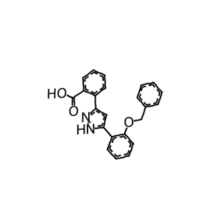 O=C(O)c1ccccc1-c1cc(-c2ccccc2OCc2ccccc2)[nH]n1